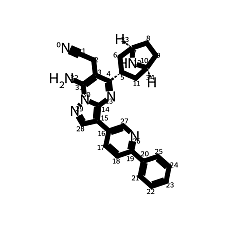 N#CCc1c([C@@H]2C[C@H]3CC[C@@H](C2)N3)nc2c(-c3ccc(-c4ccccc4)nc3)cnn2c1N